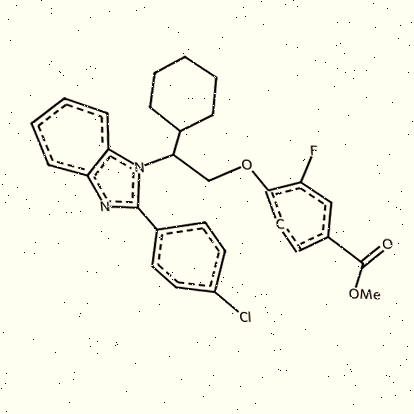 COC(=O)c1ccc(OCC(C2CCCCC2)n2c(-c3ccc(Cl)cc3)nc3ccccc32)c(F)c1